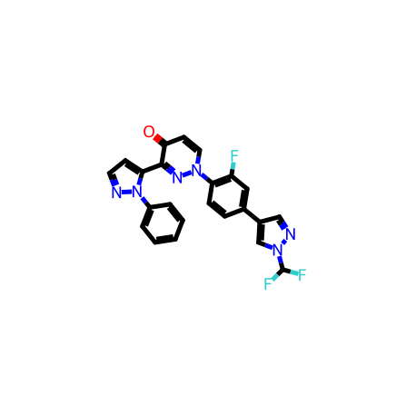 O=c1ccn(-c2ccc(-c3cnn(C(F)F)c3)cc2F)nc1-c1ccnn1-c1ccccc1